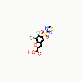 O=C(O)C1Cc2cc(S(=O)(=O)c3ncsn3)c(Cl)c(Cl)c2O1